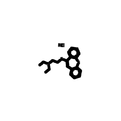 CCN(CC)CCSC1=Cc2ccccc2Sc2ccccc21.Cl